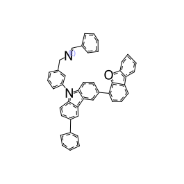 C(=N\Cc1cccc(-n2c3ccc(-c4ccccc4)cc3c3cc(-c4cccc5c4oc4ccccc45)ccc32)c1)/c1ccccc1